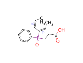 C/C=C\C(=C/C)P(=O)(CCC(=O)O)c1ccccc1